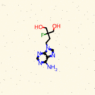 Nc1ncnc2c1ncn2CCC(F)(CO)CO